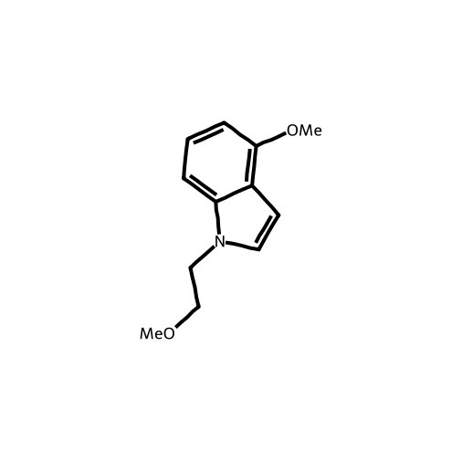 COCCn1ccc2c(OC)cccc21